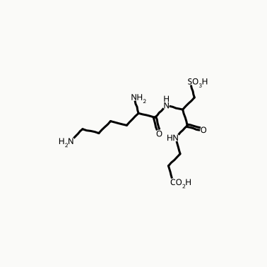 NCCCCC(N)C(=O)NC(CS(=O)(=O)O)C(=O)NCCC(=O)O